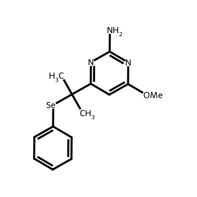 COc1cc(C(C)(C)[Se]c2ccccc2)nc(N)n1